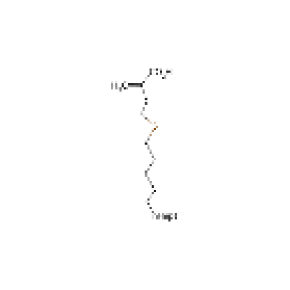 C=C(CCSCCCCCCCCCCCC)C(=O)O